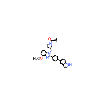 COc1cccc2c1nc(-c1ccc(-c3ccc4[nH]ccc4c3)cc1)n2C[C@H]1CCN(C(=O)C2CC2)C1